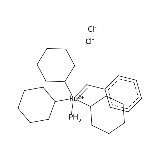 [Cl-].[Cl-].[PH2][Ru+2](=[CH]c1ccccc1)([CH]1CCCCC1)([CH]1CCCCC1)[CH]1CCCCC1